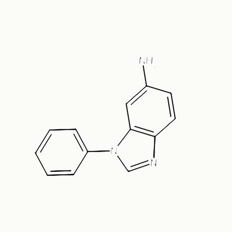 Nc1ccc2ncn(-c3ccccc3)c2c1